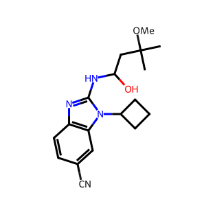 COC(C)(C)CC(O)Nc1nc2ccc(C#N)cc2n1C1CCC1